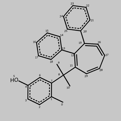 Cc1ccc(O)cc1C(C)(C)C1=C(c2ccccc2)C(c2ccccc2)=C=CC=C1